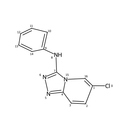 Clc1ccc2nnc(Nc3ccccc3)n2c1